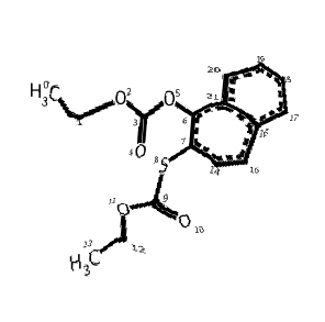 CCOC(=O)Oc1c(SC(=O)OCC)ccc2ccccc12